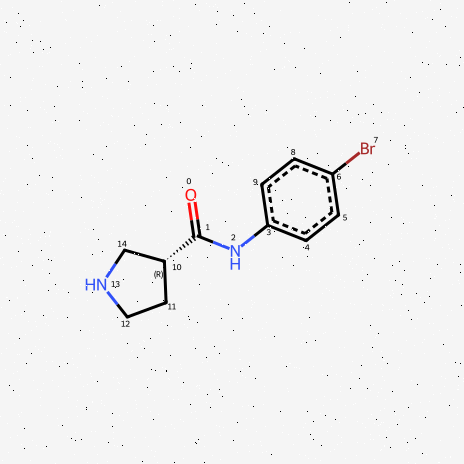 O=C(Nc1ccc(Br)cc1)[C@@H]1CCNC1